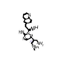 CN/C=C(\CN)c1cnc(=N)n(C(=N)Cc2ccc3ncccc3c2)n1